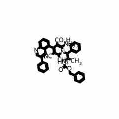 CC(NC(=O)OCc1ccccc1)C(c1ccccc1)N1C(N)=C(C(=O)O)C(c2cccc3ncc(-c4ccccc4)cc23)=C(C#N)C1C